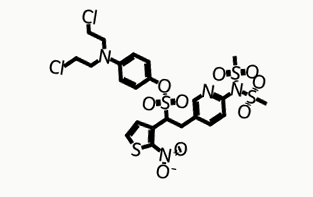 CS(=O)(=O)N(c1ccc(CC(c2ccsc2[N+](=O)[O-])S(=O)(=O)Oc2ccc(N(CCCl)CCCl)cc2)cn1)S(C)(=O)=O